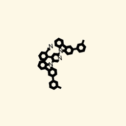 Cc1cccc(-c2ccc3c(c2)c2ccccc2n3-c2cc(-c3ccccc3C#N)c(-n3c4ccccc4c4cc(-c5cccc(C)c5)ccc43)cn2)c1